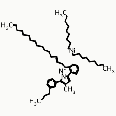 CCCCCCCCCCCCCC=CCCc1ccccc1C1=CC(C)=C(c2cccc(CCCC)c2)[N+]1=[N-].CCCCCCCC[CH2][Ni][CH2]CCCCCCCC